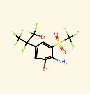 Nc1c(Br)cc(C(F)(C(F)(F)F)C(F)(F)Br)cc1S(=O)(=O)C(F)(F)F